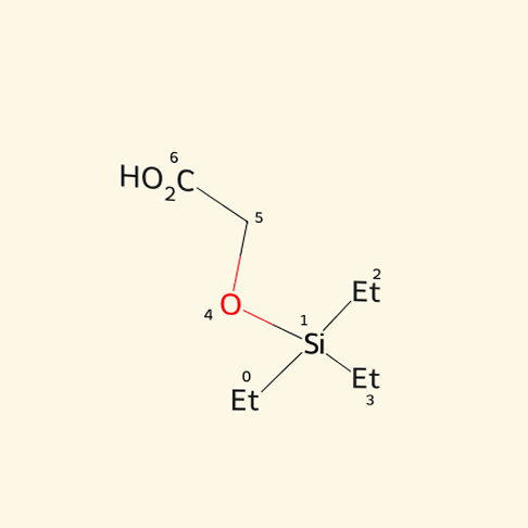 CC[Si](CC)(CC)OCC(=O)O